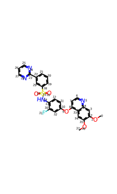 COc1cc2nccc(Oc3ccc(NS(=O)(=O)c4cccc(-c5ncccn5)c4)c(F)c3)c2cc1OC